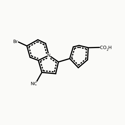 N#Cc1cc(-c2ccc(C(=O)O)cc2)n2ccc(Br)cc12